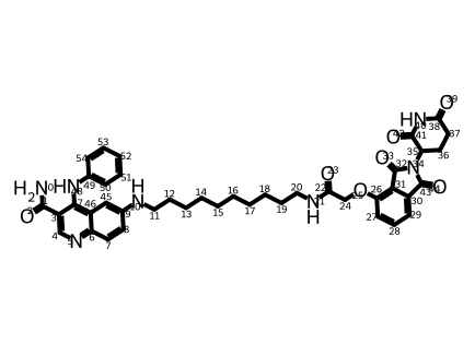 NC(=O)c1cnc2ccc(NCCCCCCCCCCNC(=O)COc3cccc4c3C(=O)N(C3CCC(=O)NC3=O)C4=O)cc2c1Nc1ccccc1